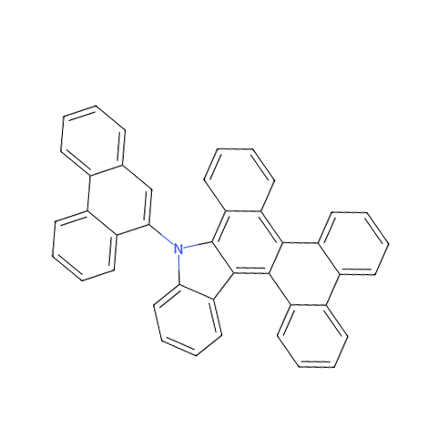 c1ccc2c(c1)cc(-n1c3ccccc3c3c4c5ccccc5c5ccccc5c4c4ccccc4c31)c1ccccc12